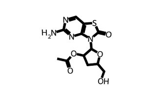 CC(=O)OC1CC(CO)OC1n1c(=O)sc2cnc(N)nc21